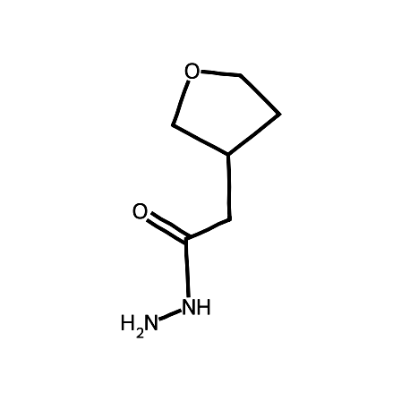 NNC(=O)CC1CCOC1